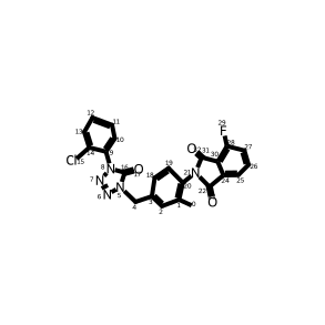 Cc1cc(Cn2nnn(-c3ccccc3Cl)c2=O)ccc1N1C(=O)c2cccc(F)c2C1=O